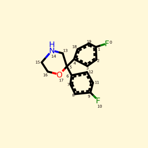 Fc1ccc(C2(c3ccc(F)cc3)CNCCO2)cc1